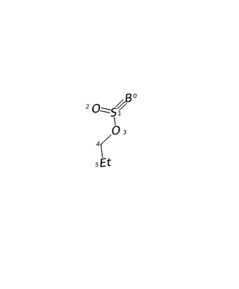 B#S(=O)OCCC